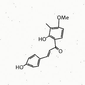 COc1ccc(C(=O)C=Cc2ccc(O)cc2)c(O)c1C